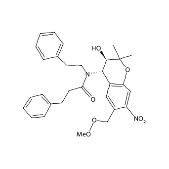 COOCc1cc2c(cc1[N+](=O)[O-])OC(C)(C)[C@H](O)[C@H]2N(CCc1ccccc1)C(=O)CCc1ccccc1